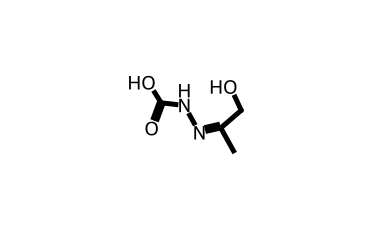 CC(CO)=NNC(=O)O